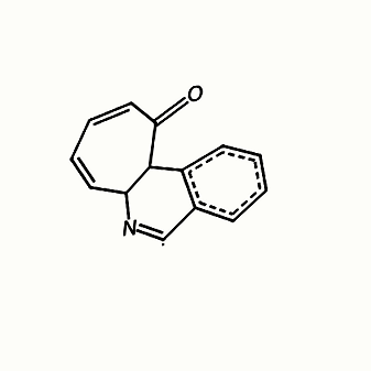 O=C1C=CC=CC2N=[C]c3ccccc3C12